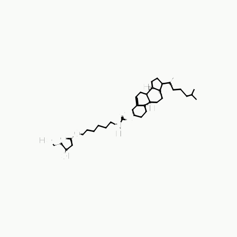 CC(C)CCC[C@H](C)C1CC[C@@H]2C3CC=C4C[C@@H](OC(=O)NCCCCCCO[C@H]5C[C@@H](O)[C@@H](CO)O5)CC[C@]4(C)[C@@H]3CC[C@]12C